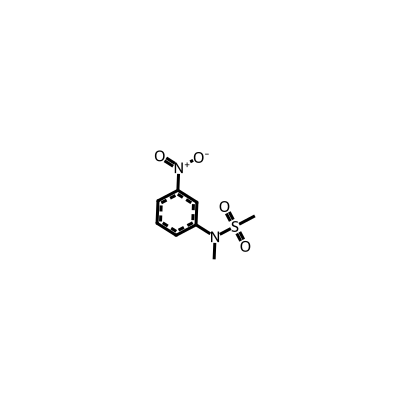 CN(c1cccc([N+](=O)[O-])c1)S(C)(=O)=O